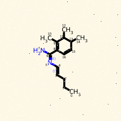 CCC/C=C/N=C(/N)C1=C(C)C(C)C(C)C=C1